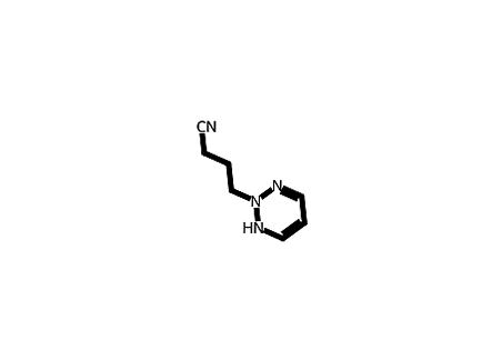 N#CCCCN1N=CC=CN1